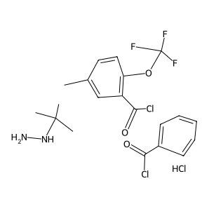 CC(C)(C)NN.Cc1ccc(OC(F)(F)F)c(C(=O)Cl)c1.Cl.O=C(Cl)c1ccccc1